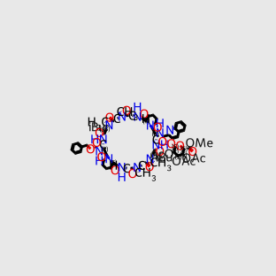 CC[C@H](C)[C@H]1C(=O)NC[C@@H](NC(=O)c2nc3ccccc3cc2O[C@@H]2O[C@H](C(=O)OC)[C@@H](OC(C)=O)[C@H](OC(C)=O)[C@H]2OC(C)=O)C(=O)N2CCCC[C@H]2C(=O)NCC(=O)N(C)CC(=O)N(C)[C@@H]([C@@H](C)CC)C(=O)NC[C@@H](NC(=O)OCc2ccccc2)C(=O)N2CCCC[C@H]2C(=O)NCC(=O)N(C)CC(=O)N1C